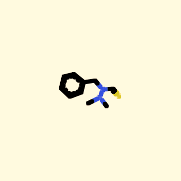 CN(C)N([C]=S)Cc1ccccc1